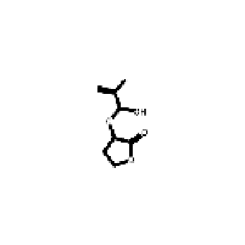 C=C(C)C(O)OC1CCOC1=O